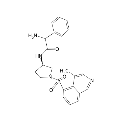 Cc1cncc2cccc(S(=O)(=O)N3CC[C@@H](NC(=O)C(N)c4ccccc4)C3)c12